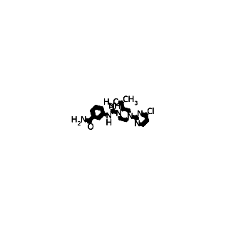 CC(C)C1CN(c2nccc(Cl)n2)CCN1C(=N)Nc1cccc(C(N)=O)c1